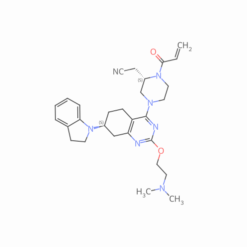 C=CC(=O)N1CCN(c2nc(OCCN(C)C)nc3c2CC[C@H](N2CCc4ccccc42)C3)C[C@@H]1CC#N